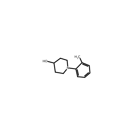 Cc1ccccc1N1CCC(O)CC1